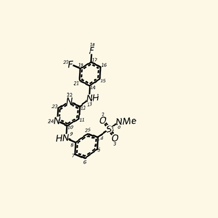 CNS(=O)(=O)c1cccc(Nc2cc(Nc3ccc(F)c(F)c3)ncn2)c1